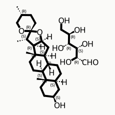 C[C@@H]1CC[C@@]2(OC1)O[C@H]1C[C@H]3[C@@H]4CC[C@H]5C[C@@H](O)CC[C@]5(C)[C@H]4CC[C@]3(C)[C@H]1[C@@H]2C.O=C[C@H](O)[C@@H](O)[C@H](O)[C@H](O)CO